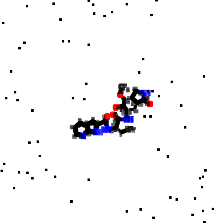 CC(C)C[C@H](NC(=O)c1cc2cccnc2[nH]1)C(=O)N[C@@H](C[C@@H]1CCNC1=O)C(=O)COC(F)(F)F